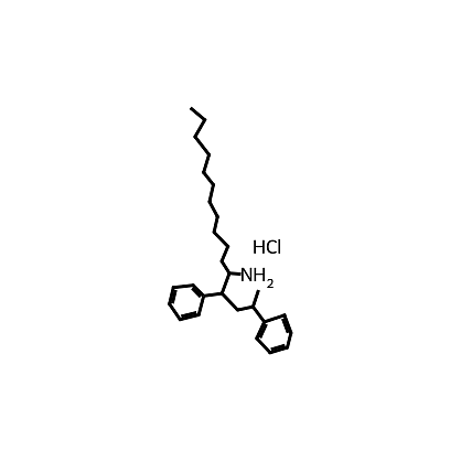 CCCCCCCCCCCC(N)C(CC(C)c1ccccc1)c1ccccc1.Cl